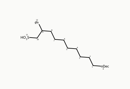 CCCCCCCCCCCCCCCCCCC(CS(=O)(=O)O)[C](C)C